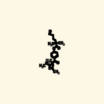 CCCC(C)(C(=O)OC)C(=O)c1ccc(OC(=O)C(C)(C)CCCC=O)cc1